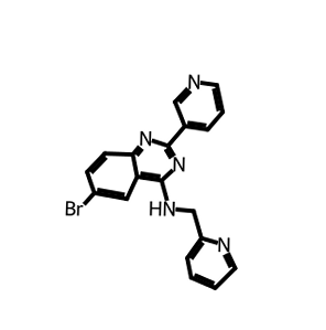 Brc1ccc2nc(-c3cccnc3)nc(NCc3ccccn3)c2c1